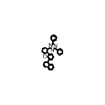 c1ccc(-c2nc(-c3ccccc3)nc(-c3cccc4oc5c(-c6cccc7ccccc67)cccc5c34)n2)cc1